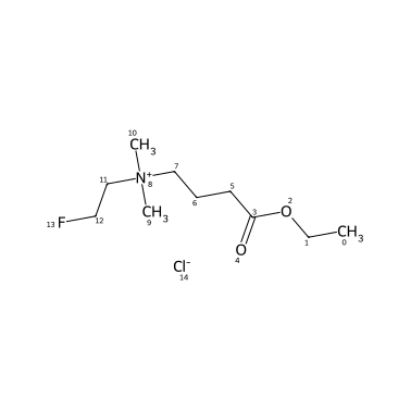 CCOC(=O)CCC[N+](C)(C)CCF.[Cl-]